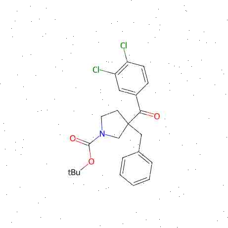 CC(C)(C)OC(=O)N1CCC(Cc2ccccc2)(C(=O)c2ccc(Cl)c(Cl)c2)C1